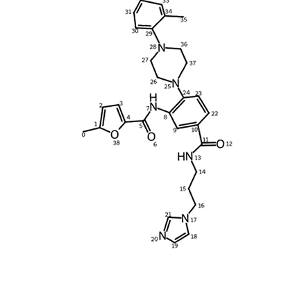 Cc1ccc(C(=O)Nc2cc(C(=O)NCCCn3ccnc3)ccc2N2CCN(c3ccccc3C)CC2)o1